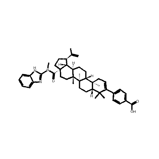 C=C(C)[C@@H]1CC[C@]2(C(=O)N(C)c3nc4ccccc4[nH]3)CC[C@]3(C)[C@H](CC[C@@H]4[C@@]5(C)CC=C(c6ccc(C(=O)O)cc6)C(C)(C)[C@@H]5CC[C@]43C)[C@@H]12